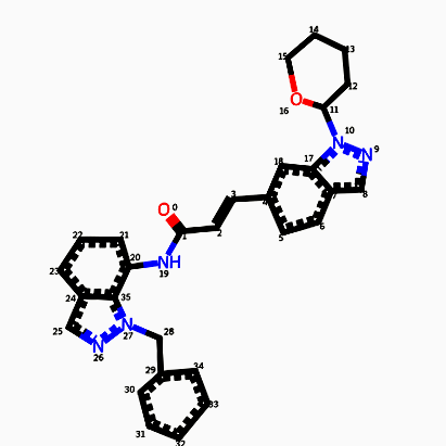 O=C(/C=C/c1ccc2cnn(C3CCCCO3)c2c1)Nc1cccc2cnn(Cc3ccccc3)c12